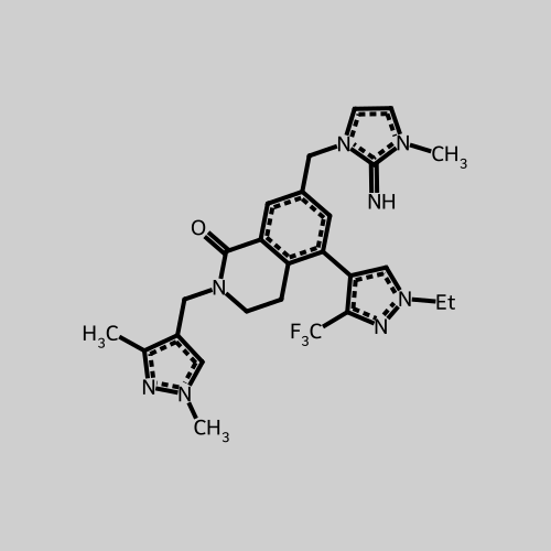 CCn1cc(-c2cc(Cn3ccn(C)c3=N)cc3c2CCN(Cc2cn(C)nc2C)C3=O)c(C(F)(F)F)n1